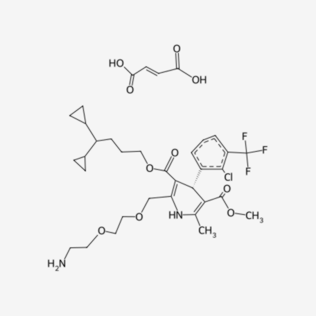 COC(=O)C1=C(C)NC(COCCOCCN)=C(C(=O)OCCCC(C2CC2)C2CC2)[C@@H]1c1cccc(C(F)(F)F)c1Cl.O=C(O)/C=C/C(=O)O